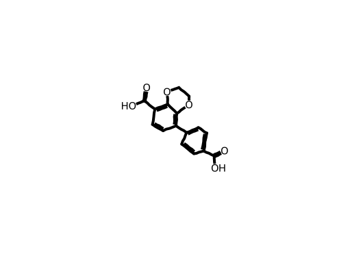 O=C(O)c1ccc(-c2ccc(C(=O)O)c3c2OCCO3)cc1